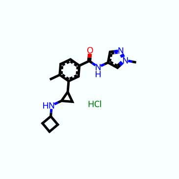 Cc1ccc(C(=O)Nc2cnn(C)c2)cc1C1CC1NC1CCC1.Cl